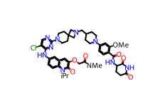 CNC(=O)COc1cc2cc(Nc3nc(N4CCC5(CC4)CN(CC4CCN(c6ccc(C(=O)NC7CCC(=O)NC7=O)c(OC)c6)CC4)C5)ncc3Cl)ccc2n(C(C)C)c1=O